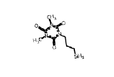 Cn1c(=O)n(C)c(=O)n(CCC[SiH3])c1=O